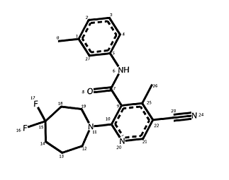 Cc1cccc(NC(=O)c2c(N3CCCC(F)(F)CC3)ncc(C#N)c2C)c1